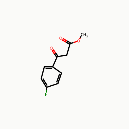 COC(=O)[CH]C(=O)c1ccc(F)cc1